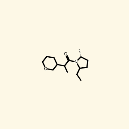 CCC1CC[C@@H](C)N1C(=O)C(C)C1CCCOC1